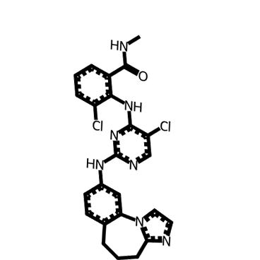 CNC(=O)c1cccc(Cl)c1Nc1nc(Nc2ccc3c(c2)-n2ccnc2CCC3)ncc1Cl